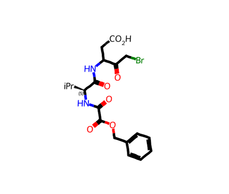 CC(C)[C@H](NC(=O)C(=O)OCc1ccccc1)C(=O)NC(CC(=O)O)C(=O)CBr